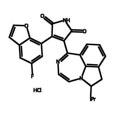 CC(C)C1Cc2cccc3c2N1C=CN=C3C1=C(c2cc(F)cc3ccoc23)C(=O)NC1=O.Cl